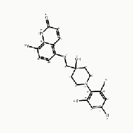 O=c1ccc2c(OCC3(O)CCN(c4c(F)cc(Cl)cc4F)CC3)ccc(F)c2[nH]1